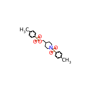 Cc1ccc(S(=O)(=O)OCC2CCN(S(=O)(=O)c3ccc(C)cc3)CC2)cc1